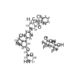 CC1(NC(=O)c2ncccc2Cl)CCN(c2ccc(-c3cc(OC[C@@H]4CNCCO4)cn4ncc(C#N)c34)cn2)CC1.O=C(O)C(F)(F)F.O=C(O)C(F)(F)F